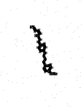 COc1ccc(CCCOc2ccc(CCN/C=C\C=N)cc2)cc1